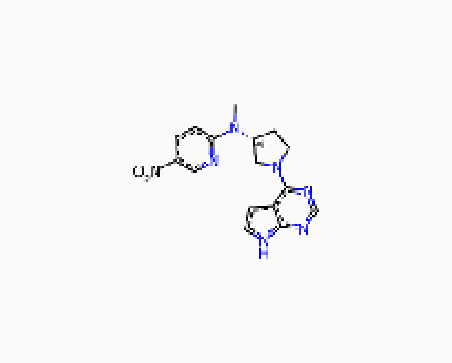 CN(c1ccc([N+](=O)[O-])cn1)[C@@H]1CCN(c2ncnc3[nH]ccc23)C1